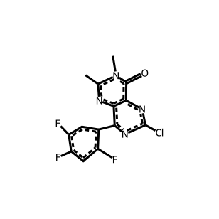 Cc1nc2c(-c3cc(F)c(F)cc3F)nc(Cl)nc2c(=O)n1C